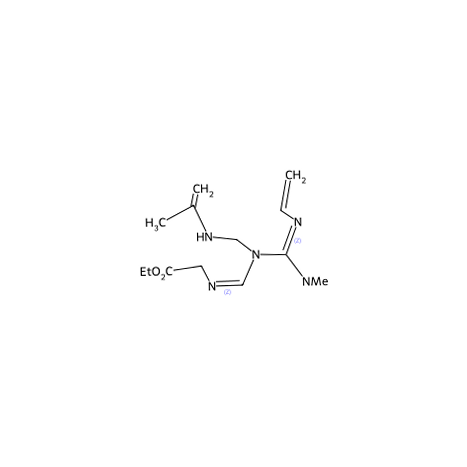 C=C/N=C(/NC)N(/C=N\CC(=O)OCC)CNC(=C)C